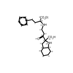 CCOC(=O)[C@H](CCc1ccccc1)NCCC(=O)C1(C(=O)O)CC2CCCCC2N1